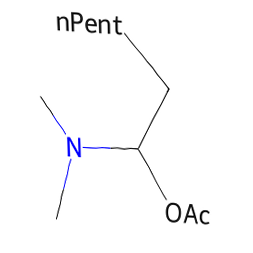 CCCCCCC(OC(C)=O)N(C)C